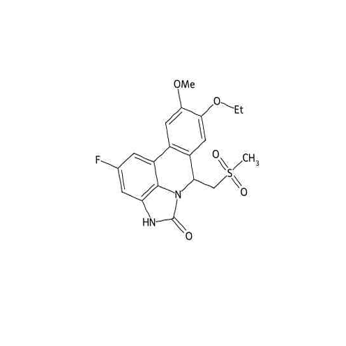 CCOc1cc2c(cc1OC)-c1cc(F)cc3[nH]c(=O)n(c13)C2CS(C)(=O)=O